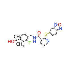 CC(C)(O)c1ccc(CNC(=O)c2cccnc2Sc2ccc3nonc3c2)c(F)c1